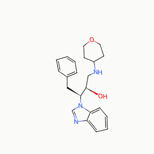 O[C@H](CNC1CCOCC1)[C@H](Cc1ccccc1)n1cnc2ccccc21